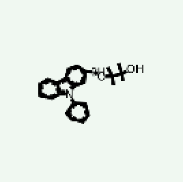 CC(C)(O)C(C)(C)OBc1ccc2c3ccccc3n(-c3ccccc3)c2c1